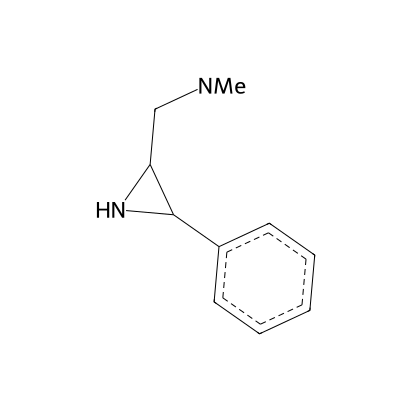 CNCC1NC1c1ccccc1